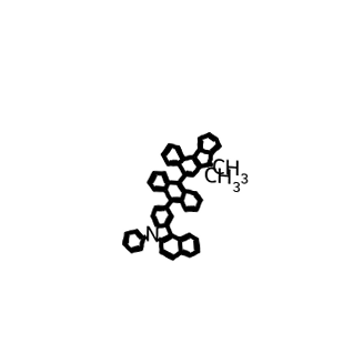 CC1(C)c2ccccc2-c2c1cc(-c1c3ccccc3c(-c3ccc4c(c3)c3c5ccccc5ccc3n4-c3ccccc3)c3ccccc13)c1ccccc21